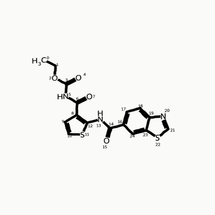 CCOC(=O)NC(=O)c1ccsc1NC(=O)c1ccc2ncsc2c1